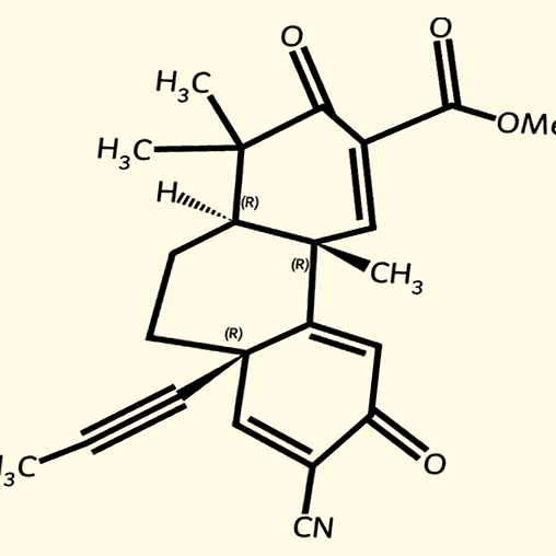 CC#C[C@]12C=C(C#N)C(=O)C=C1[C@@]1(C)C=C(C(=O)OC)C(=O)C(C)(C)[C@@H]1CC2